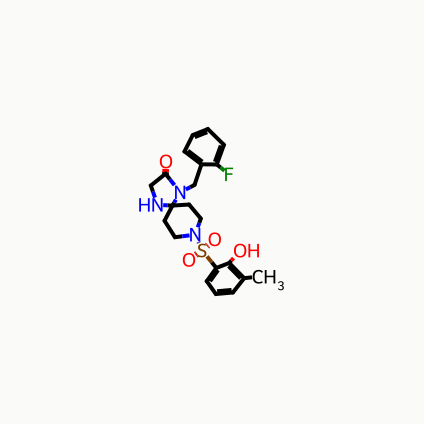 Cc1cccc(S(=O)(=O)N2CCC3(CC2)NCC(=O)N3Cc2ccccc2F)c1O